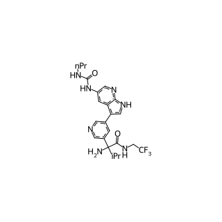 CCCNC(=O)Nc1cnc2[nH]cc(-c3cncc(C(N)(C(=O)NCC(F)(F)F)C(C)C)c3)c2c1